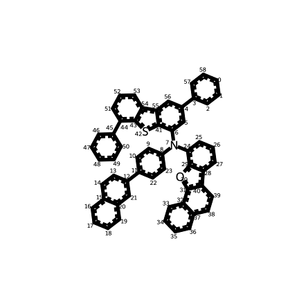 c1ccc(-c2cc(N(c3ccc(-c4ccc5ccccc5c4)cc3)c3cccc4c3oc3c5ccccc5ccc43)c3sc4c(-c5ccccc5)cccc4c3c2)cc1